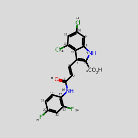 O=C(C=Cc1c(C(=O)O)[nH]c2cc(Cl)cc(Cl)c12)Nc1ccc(F)cc1F